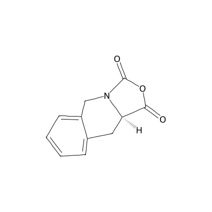 O=C1OC(=O)N2Cc3ccccc3C[C@H]12